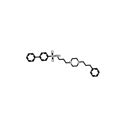 O=S(=O)(NCCCN1CCN(CCCc2ccccc2)CC1)c1ccc(-c2ccccc2)cc1